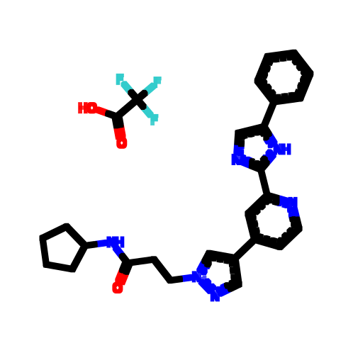 O=C(CCn1cc(-c2ccnc(-c3ncc(-c4ccccc4)[nH]3)c2)cn1)NC1CCCC1.O=C(O)C(F)(F)F